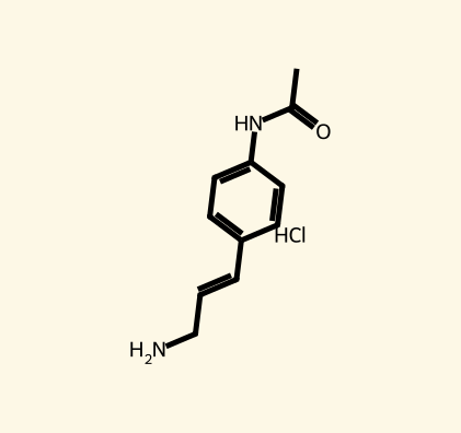 CC(=O)Nc1ccc(C=CCN)cc1.Cl